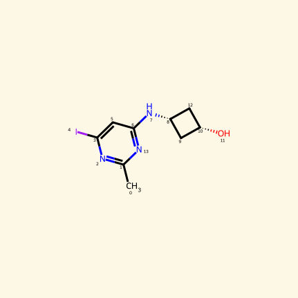 Cc1nc(I)cc(N[C@H]2C[C@@H](O)C2)n1